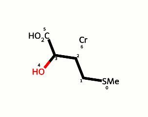 CSCCC(O)C(=O)O.[Cr]